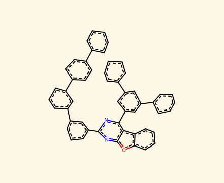 c1ccc(-c2ccc(-c3cccc(-c4cccc(-c5nc(-c6cc(-c7ccccc7)cc(-c7ccccc7)c6)c6c(n5)oc5ccccc56)c4)c3)cc2)cc1